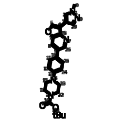 Cn1cc(-c2coc3cc(-c4ccc(N5CCN(C(=O)OC(C)(C)C)CC5)cc4)cnc23)cn1